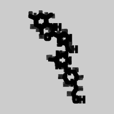 Cc1cc(C)c(NC(=O)c2cnc(Nc3nc(C)nc(N4CCN(CCO)CC4)n3)s2)c(C)c1